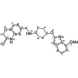 COc1cccc2sc(OC3CCC(NCc4ccc5c(c4)NC(=O)CO5)CC3)nc12